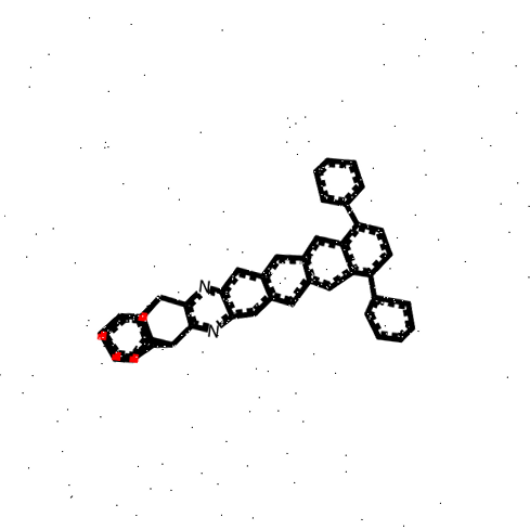 c1ccc(-c2ccc(-c3ccccc3)c3cc4cc5cc6nc7c(nc6cc5cc4cc23)C2c3ccccc3C7c3ccccc32)cc1